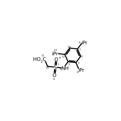 CC(C)c1cc(C(C)C)c(NS(=O)(=O)CC(=O)O)c(C(C)C)c1